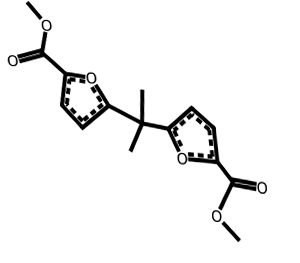 COC(=O)c1ccc(C(C)(C)c2ccc(C(=O)OC)o2)o1